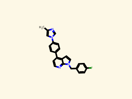 Cc1cn(-c2ccc(-c3ccnc4c3ccn4Cc3ccc(F)cc3)cc2)cn1